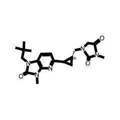 CN1C(=O)CN(C[C@@H]2CC2c2ccc3c(n2)n(C)c(=O)n3CC(C)(C)C)C1=O